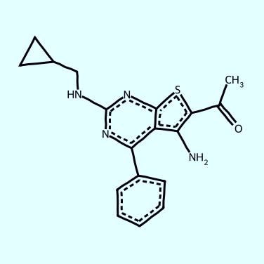 CC(=O)c1sc2nc(NCC3CC3)nc(-c3ccccc3)c2c1N